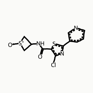 O=C(NC1C[S+]([O-])C1)c1sc(-c2cccnc2)nc1Cl